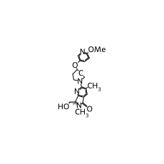 COc1ccc(OC2CCN(c3nc4c(cc3C)C(=O)N(C)[C@H]4CO)CC2)cn1